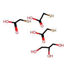 O=C(O)CS.O=C(O)CS.O=C(O)CS.OCC(O)CO